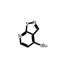 CC(C)(C)c1ccnc2sncc12